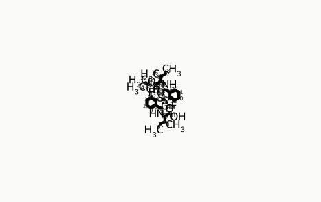 CCC(C)[C@H](NC(=O)c1cccc(F)c1SSc1c(F)cccc1C(=O)N[C@H](C(=O)OC(C)(C)C)C(C)CC)C(=O)O